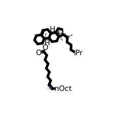 CCCCCCCC/C=C\CCCCCCCC(=O)OC1CCCC2=CC[C@H]3[C@@H]4CC[C@H]([C@H](C)CCCC(C)C)[C@@]4(C)CC[C@@H]3[C@]21C